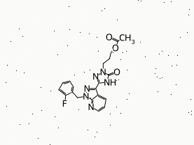 CC(=O)OCCCn1nc(-c2nn(Cc3ccccc3F)c3ncccc23)[nH]c1=O